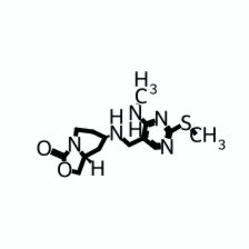 CNc1nc(SC)ncc1CN[C@H]1CCN2C(=O)OC[C@H]2C1